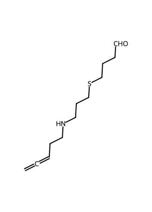 C=C=CCCNCCCSCCCC=O